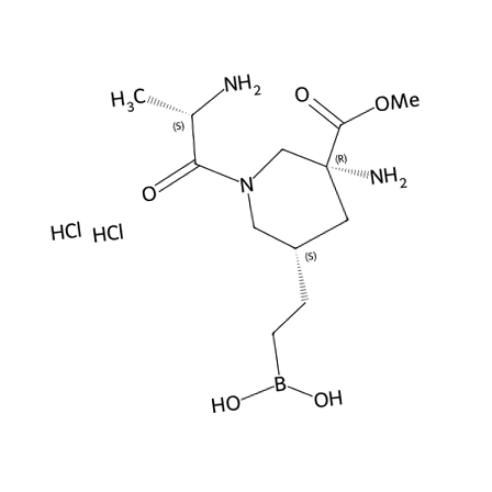 COC(=O)[C@@]1(N)C[C@H](CCB(O)O)CN(C(=O)[C@H](C)N)C1.Cl.Cl